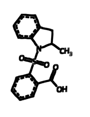 CC1Cc2ccccc2N1S(=O)(=O)c1ccccc1C(=O)O